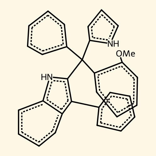 COc1ccccc1C(c1ccccc1)(c1ccc[nH]1)c1[nH]c2ccccc2c1-c1ccccc1